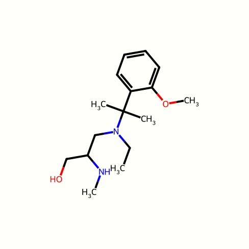 CCN(CC(CO)NC)C(C)(C)c1ccccc1OC